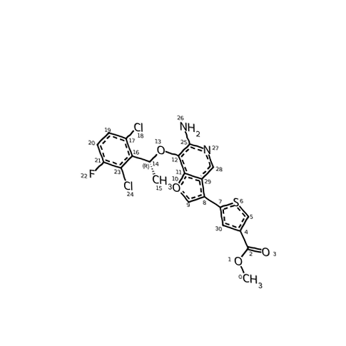 COC(=O)c1csc(-c2coc3c(O[C@H](C)c4c(Cl)ccc(F)c4Cl)c(N)ncc23)c1